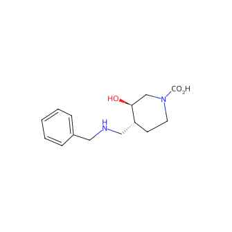 O=C(O)N1CC[C@H](CNCc2ccccc2)[C@@H](O)C1